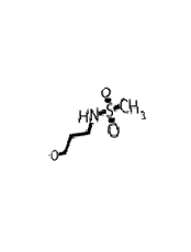 CS(=O)(=O)NCCC[O]